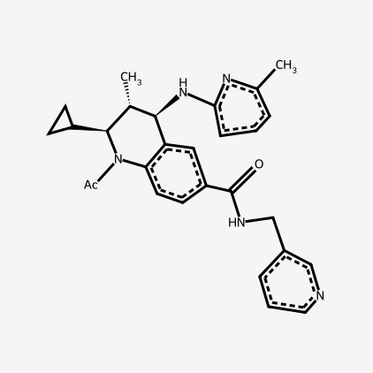 CC(=O)N1c2ccc(C(=O)NCc3cccnc3)cc2[C@H](Nc2cccc(C)n2)[C@@H](C)[C@@H]1C1CC1